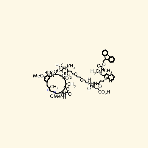 COc1cc2cc(c1Cl)N(C)C(=O)C[C@H](OC(=O)[C@H](C)N(C)C(=O)CCOCCOCCNC(=O)[C@H](CCC(=O)O)NC(=O)CCn1c(CN(C)N(C)C(=O)OCC3c4ccccc4-c4ccccc43)cc3cccnc31)[C@]1(C)OC1[C@H](C)[C@@H]1C[C@@](O)(NC(=O)O1)[C@H](OC)/C=C/C=C(\C)C2